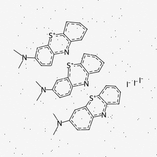 CN(C)c1ccc2nc3ccccc3[s+]c2c1.CN(C)c1ccc2nc3ccccc3[s+]c2c1.CN(C)c1ccc2nc3ccccc3[s+]c2c1.[I-].[I-].[I-]